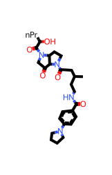 CCCC(O)C(=O)N1CC(=O)C2C1CCN2C(=O)CC(C)CCNC(=O)c1ccc(N2CCCC2)cc1